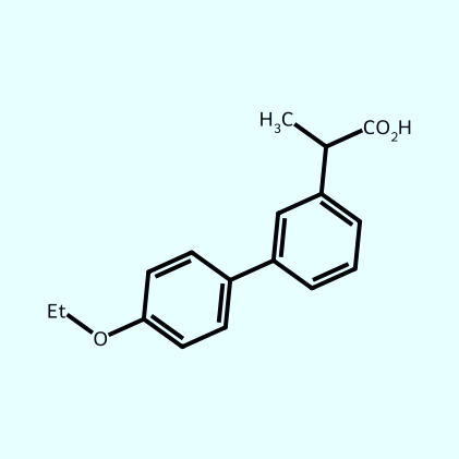 CCOc1ccc(-c2cccc(C(C)C(=O)O)c2)cc1